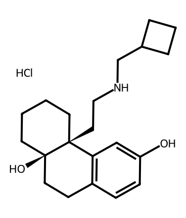 Cl.Oc1ccc2c(c1)[C@@]1(CCNCC3CCC3)CCCC[C@@]1(O)CC2